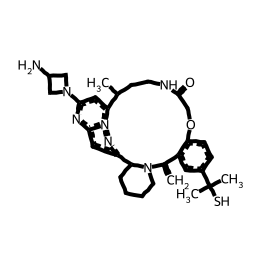 C=C1c2cc(C(C)(C)S)ccc2OCC(=O)NCCC(C)c2cc(N3CC(N)C3)nc3cc(nn23)C2CCCCN12